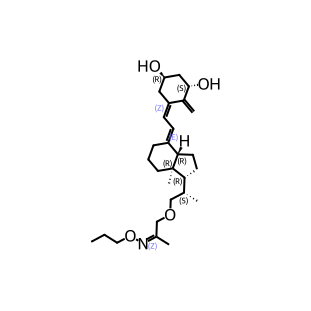 C=C1/C(=C\C=C2/CCC[C@]3(C)[C@@H]([C@H](C)COC/C(C)=N\OCCC)CC[C@@H]23)C[C@@H](O)C[C@@H]1O